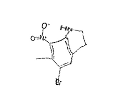 Cc1c(Br)cc2c(c1[N+](=O)[O-])NCC2